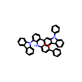 c1ccc(-c2ccc(Nc3c(-c4ccc5c6ccccc6n(-c6ccccc6)c5c4)cccc3-n3c4ccccc4c4ccccc43)cc2)cc1